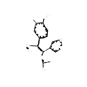 C=N/C(=C(\N=C(/C)N)c1cnsc1)c1ccc(O)c(Cl)c1